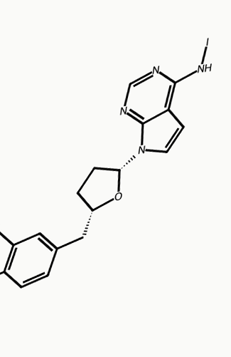 Fc1cc(C[C@@H]2CC[C@H](n3ccc4c(NI)ncnc43)O2)ccc1Cl